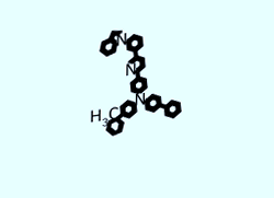 CC1(c2ccc(N(c3ccc(-c4ccccc4)cc3)c3ccc(-c4ccc(-c5cccc(-n6ccc7ccccc76)c5)cn4)cc3)cc2)C=CC=CC1